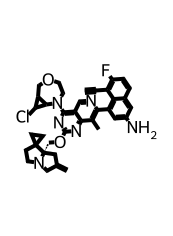 C#Cc1c(F)ccc2cc(N)cc(-c3ncc4c(N5CCOCC6C(Cl)C65)nc(OC[C@]56CC(=C)CN5CCC65CC5)nc4c3C)c12